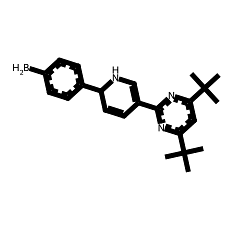 Bc1ccc(C2C=CC(c3nc(C(C)(C)C)cc(C(C)(C)C)n3)=CN2)cc1